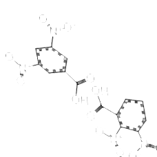 O=C(O)c1cc([N+](=O)[O-])cc([N+](=O)[O-])c1.O=C(O)c1cccc([N+](=O)[O-])c1[N+](=O)[O-]